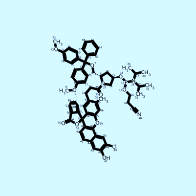 COc1ccc(C(OC[C@@H]2C[C@@H](OP(OCCC#N)N(C(C)C)C(C)C)CN2C(=O)CCc2cc3c(cc2C)Oc2c(ccc4cc(O)c(Cl)cc24)C32OC(=O)c3ccccc32)(c2ccccc2)c2ccc(OC)cc2)cc1